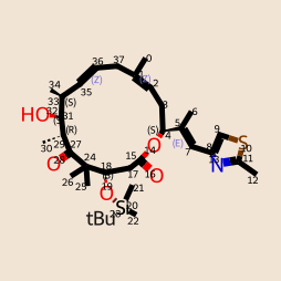 C/C1=C/C[C@@H](/C(C)=C/c2csc(C)n2)OC(=O)C[C@H](O[Si](C)(C)C(C)(C)C)C(C)(C)C(=O)[C@H](C)[C@@H](O)[C@@H](C)/C=C\C1